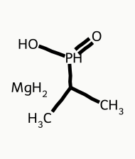 CC(C)[PH](=O)O.[MgH2]